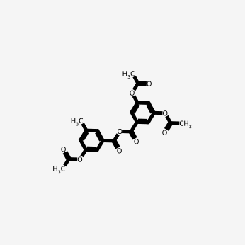 CC(=O)Oc1cc(C)cc(C(=O)OC(=O)c2cc(OC(C)=O)cc(OC(C)=O)c2)c1